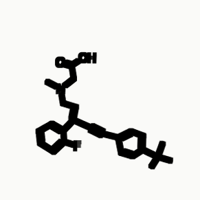 CN(CC=C(C#Cc1ccc(C(C)(C)C)cc1)c1ccccc1F)CC(=O)O